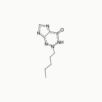 CCCCCn1nc2ncnc-2c(=O)[nH]1